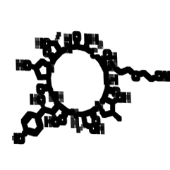 COCCOCCNC1NC(=O)C2[C@@H](O)[C@@H](C)CN2C(=O)C([C@@H](C)O)NC(=O)C([C@H](O)[C@@H](O)c2ccc(O)cc2)NC(=O)C2C[C@@H](O)CN2C(=O)C([C@@H](C)O)NC(=O)C(N)C[C@H]1O